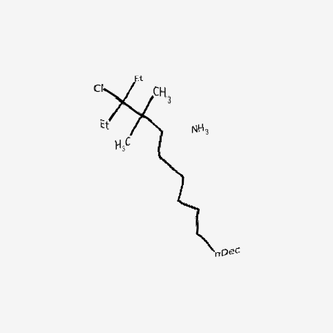 CCCCCCCCCCCCCCCCC(C)(C)C(Cl)(CC)CC.N